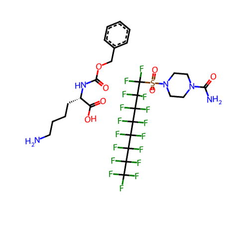 NC(=O)N1CCN(S(=O)(=O)C(F)(F)C(F)(F)C(F)(F)C(F)(F)C(F)(F)C(F)(F)C(F)(F)C(F)(F)F)CC1.NCCCC[C@H](NC(=O)OCc1ccccc1)C(=O)O